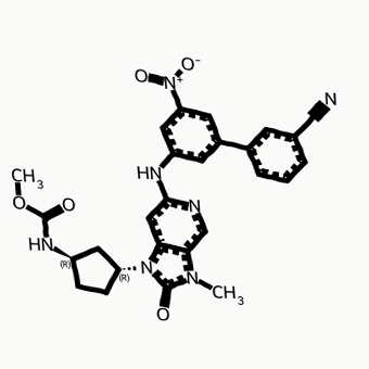 COC(=O)N[C@@H]1CC[C@@H](n2c(=O)n(C)c3cnc(Nc4cc(-c5cccc(C#N)c5)cc([N+](=O)[O-])c4)cc32)C1